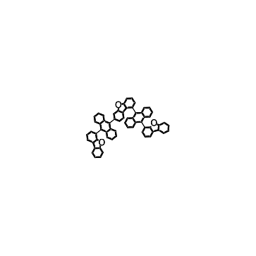 c1ccc2c(c1)oc1c(-c3c4ccccc4c(-c4ccc5c(c4)oc4cccc(-c6c7ccccc7c(-c7cccc8c7oc7ccccc78)c7ccccc67)c45)c4ccccc34)cccc12